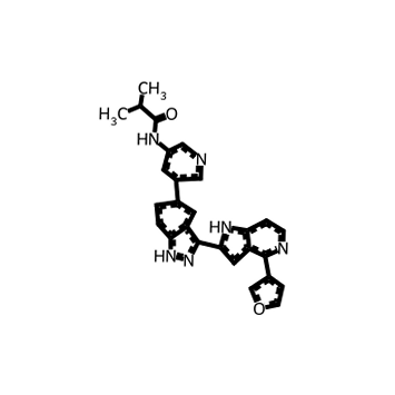 CC(C)C(=O)Nc1cncc(-c2ccc3[nH]nc(-c4cc5c(-c6ccoc6)nccc5[nH]4)c3c2)c1